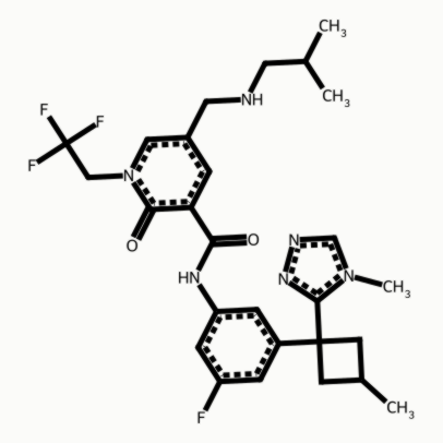 CC(C)CNCc1cc(C(=O)Nc2cc(F)cc(C3(c4nncn4C)CC(C)C3)c2)c(=O)n(CC(F)(F)F)c1